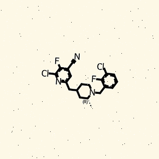 C[C@@H]1CC(Cc2cc(C#N)c(F)c(Cl)n2)CCN1Cc1cccc(Cl)c1F